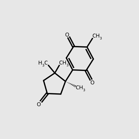 CC1=CC(=O)C([C@@]2(C)CC(=O)CC2(C)C)=CC1=O